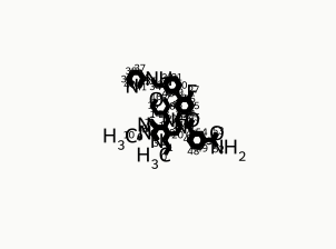 CCc1nc2c(cnn2CC)c(NC2CCOCC2)c1CN(Cc1ccc(F)c(-c2cccc(CNc3cccnc3)c2)c1)C(=O)c1cccc(C(N)=O)c1